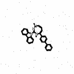 Cn1cccc(-c2ccc(-c3ccccc3)cc2)n(C)c(-n2c3ccccc3c3ccccc32)n1